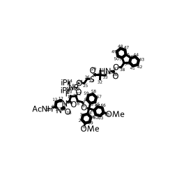 COc1ccc(C(OCC2OC(n3ccc(NC(C)=O)nc3=O)C(F)C2OP(OCCSC(=O)C(C)(C)CNC(=O)OCC2c3ccccc3-c3ccccc32)N(C(C)C)C(C)C)(c2ccccc2)c2ccc(OC)cc2)cc1